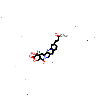 CCC1(O)C(=O)OCc2c1cc1n(c2=O)Cc2cc3ccc(C=CC(=O)OC)cc3nc2-1